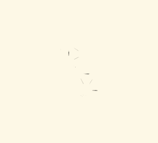 COC(=O)c1ccc(C2Cc3ccc(C(F)(F)F)cc3N2)cc1